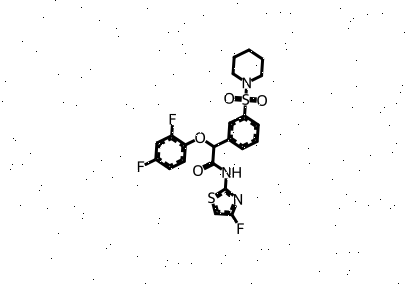 O=C(Nc1nc(F)cs1)C(Oc1ccc(F)cc1F)c1cccc(S(=O)(=O)N2CCCCC2)c1